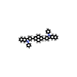 c1ccc(-n2c3cc(-c4cc5ccc6cc(-c7ccc8c9cc%10ccccc%10cc9n(-c9ccccc9)c8c7)cc7ccc(c4)c5c67)ccc3c3cc4ccccc4cc32)cc1